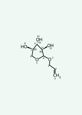 C=CCOC1OC[C@@H](O)[C@H](O)[C@H]1O